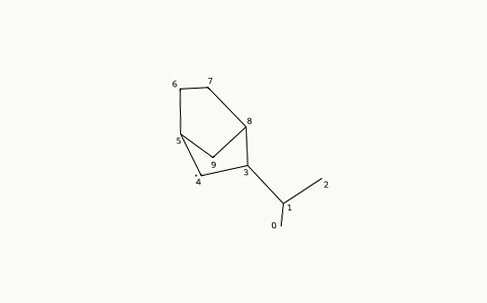 CC(C)C1[CH]C2CCC1C2